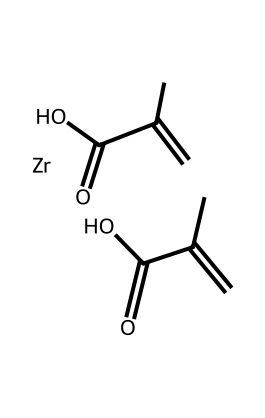 C=C(C)C(=O)O.C=C(C)C(=O)O.[Zr]